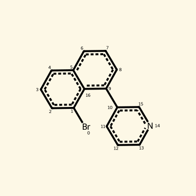 Brc1cccc2cccc(-c3cccnc3)c12